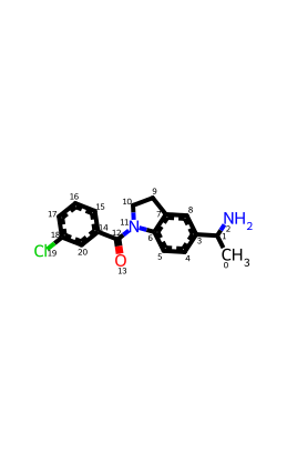 CC(N)c1ccc2c(c1)CCN2C(=O)c1cccc(Cl)c1